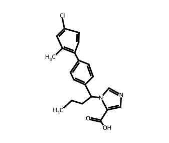 CCCC(c1ccc(-c2ccc(Cl)cc2C)cc1)n1cncc1C(=O)O